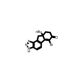 CCCCC12CCC(=O)C(Br)=C1c1ccc3[nH]nnc3c1C2